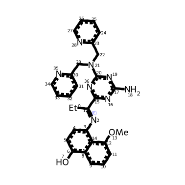 CC/C(=N\c1ccc(O)c2cccc(OC)c12)c1nc(N)nc(N(Cc2ccccn2)Cc2ccccn2)n1